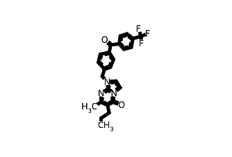 CCCc1c(C)nc2n(Cc3ccc(C(=O)c4ccc(C(F)(F)F)cc4)cc3)ccn2c1=O